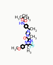 C=C(c1ccc(NC(=O)OC(C)(C)C)cc1)N1CCN(C(=O)c2cnn3c(C(F)(F)F)c(C)c(-c4ccc(OC)cc4)nc23)[C@H](C)C1